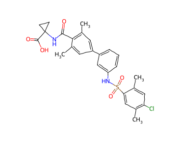 Cc1cc(S(=O)(=O)Nc2cccc(-c3cc(C)c(C(=O)NC4(C(=O)O)CC4)c(C)c3)c2)c(C)cc1Cl